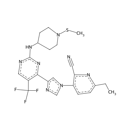 CCc1ccc(-n2cnc(-c3nc(NC4CCN(SC)CC4)ncc3C(F)(F)F)c2)c(C#N)n1